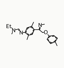 CCN(C)C=Nc1cc(C)c(C(COc2ccc(C)cc2)=NC)cc1C